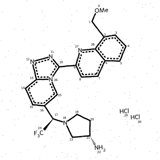 COCc1cccc2ccc(-c3nnc4ccc([C@@H](N5CC[C@H](N)C5)C(F)(F)F)cn34)nc12.Cl.Cl